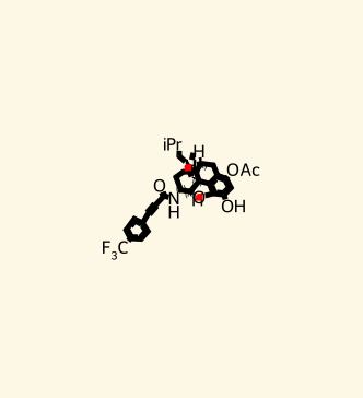 CC(=O)Oc1cc(O)c2c3c1C[C@@H]1[C@@H]4CC[C@H](NC(=O)C#Cc5ccc(C(F)(F)F)cc5)[C@H](O2)[C@]34CC[N+]1(C)CC(C)C